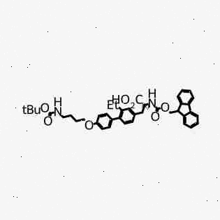 CCc1cc(C[C@@H](NC(=O)OCC2c3ccccc3-c3ccccc32)C(=O)O)ccc1-c1ccc(OCCCCNC(=O)OC(C)(C)C)cc1